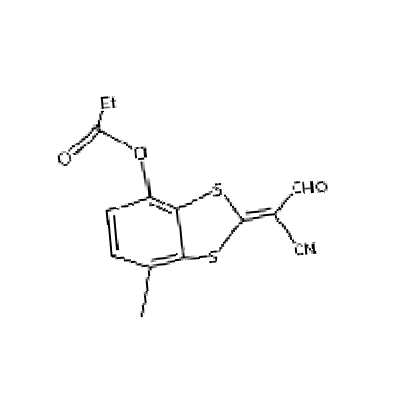 CCC(=O)Oc1ccc(C)c2c1S/C(=C(/C#N)C=O)S2